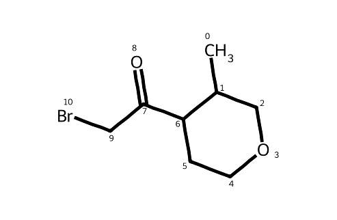 CC1COCCC1C(=O)CBr